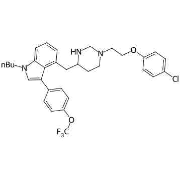 CCCCn1cc(-c2ccc(OC(F)(F)F)cc2)c2c(CC3CCN(CCOc4ccc(Cl)cc4)CN3)cccc21